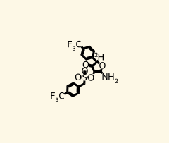 [2H]C1(c2ccc(C(F)(F)F)cc2)OC(N)=C(OS(=O)(=O)Cc2ccc(C(F)(F)F)cc2)C1=O